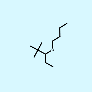 [CH2]CC(OCCCC)C(C)(C)C